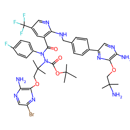 CC(C)(N)COc1nc(-c2ccc(CNc3ncc(C(F)(F)F)cc3C(=O)N(c3ccc(F)cc3)N(C(=O)OC(C)(C)C)C(C)(C)COc3nc(Br)cnc3N)cc2)cnc1N